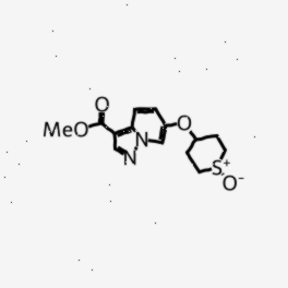 COC(=O)c1cnn2cc(OC3CC[S+]([O-])CC3)ccc12